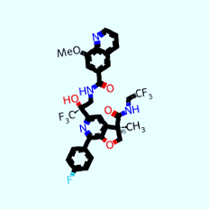 COc1cc(C(=O)NC[C@](O)(c2cc3c(c(-c4ccc(F)cc4)n2)OC[C@]3(C)C(=O)NCC(F)(F)F)C(F)(F)F)cc2cccnc12